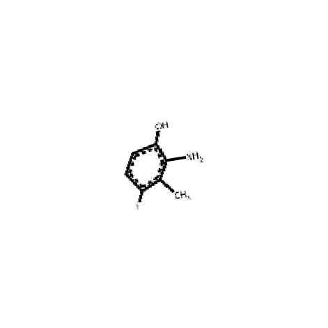 Cc1c(F)ccc(O)c1N